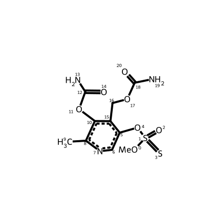 COS(=O)(=S)Oc1cnc(C)c(OC(N)=O)c1COC(N)=O